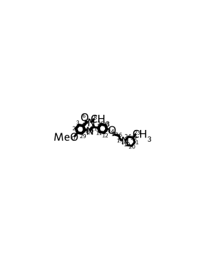 COc1ccc2c(=O)n(C)c(-c3ccc(OCCCN4CCCC(C)C4)cc3)nc2c1